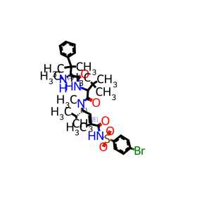 CN[C@H](C(=O)NC(C(=O)N(C)[C@H](/C=C(\C)C(=O)NS(=O)(=O)c1ccc(Br)cc1)C(C)C)C(C)(C)C)C(C)(C)c1ccccc1